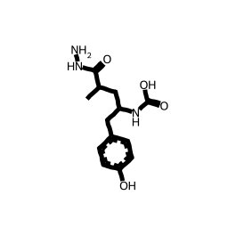 CC(CC(Cc1ccc(O)cc1)NC(=O)O)C(=O)NN